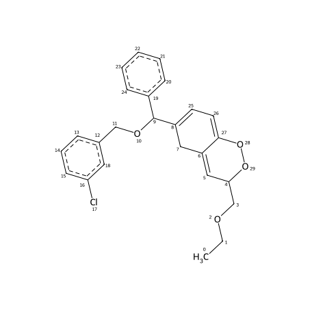 CCOCC1C=C2CC(C(OCc3cccc(Cl)c3)c3ccccc3)=CC=C2OO1